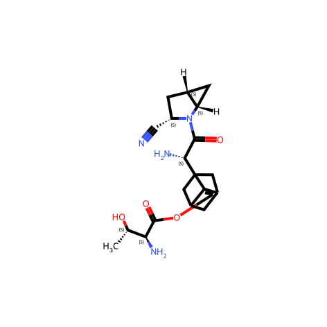 C[C@H](O)[C@H](N)C(=O)OC1=C2C3CC(C1)CC2([C@H](N)C(=O)N1[C@H](C#N)C[C@@H]2C[C@@H]21)C3